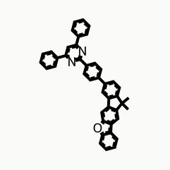 CC1(C)c2ccc(-c3ccc(-c4nc(-c5ccccc5)cc(-c5ccccc5)n4)cc3)cc2-c2cc3oc4ccccc4c3cc21